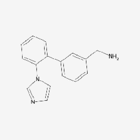 NCc1cccc(-c2ccccc2-n2ccnc2)c1